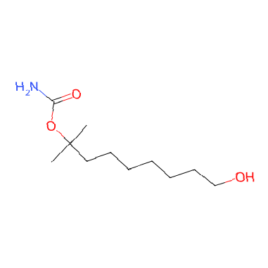 CC(C)(CCCCCCCO)OC(N)=O